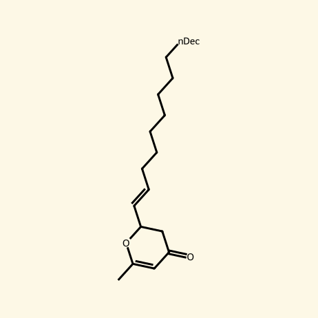 CCCCCCCCCCCCCCCCCC=CC1CC(=O)C=C(C)O1